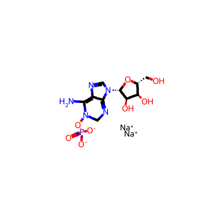 NC1=c2ncn([C@@H]3O[C@H](CO)[C@@H](O)[C@H]3O)c2=NCN1OP(=O)([O-])[O-].[Na+].[Na+]